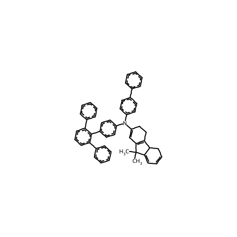 CC1(C)C2=CC=CCC2C2=C1C=C(N(c1ccc(-c3ccccc3)cc1)c1ccc(-c3c(-c4ccccc4)cccc3-c3ccccc3)cc1)CC2